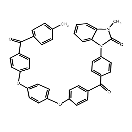 Cc1ccc(C(=O)c2ccc(Oc3ccc(Oc4ccc(C(=O)c5ccc(-n6c(=O)n(C)c7ccccc76)cc5)cc4)cc3)cc2)cc1